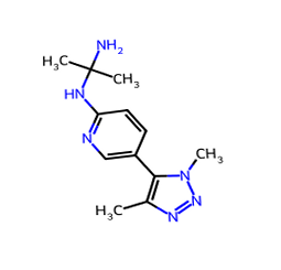 Cc1nnn(C)c1-c1ccc(NC(C)(C)N)nc1